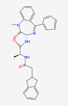 C[C@H](NC(=O)CC1Cc2ccccc2C1)C(=O)N[C@H]1N=C(c2ccccc2)c2ccccc2N(C)C1=O